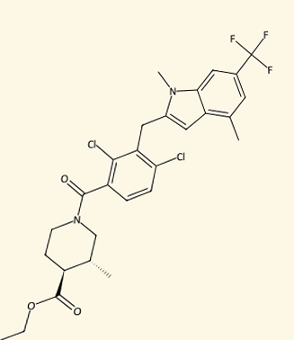 CCOC(=O)[C@H]1CCN(C(=O)c2ccc(Cl)c(Cc3cc4c(C)cc(C(F)(F)F)cc4n3C)c2Cl)C[C@@H]1C